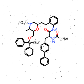 COC(=O)N[C@@H](Cc1ccc(-c2ccccc2)cc1)C(=O)Nc1ccccc1CC[C@@H]1CN(C(=O)O)C(C)C(CO[Si](c2ccccc2)(c2ccccc2)C(C)(C)C)O1